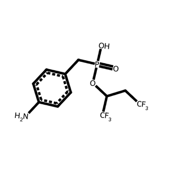 Nc1ccc(CP(=O)(O)OC(CC(F)(F)F)C(F)(F)F)cc1